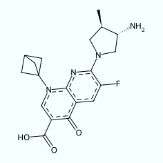 C[C@@H]1CN(c2nc3c(cc2F)c(=O)c(C(=O)O)cn3C23CC(C2)C3)C[C@H]1N